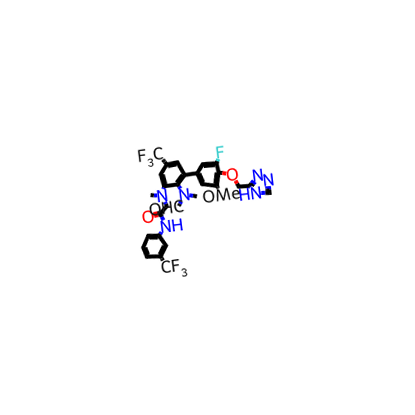 COc1cc(-c2cc(C(F)(F)F)cc(N(C)CC(=O)Nc3cccc(C(F)(F)F)c3)c2N(C)C=O)cc(F)c1OCc1nnc[nH]1